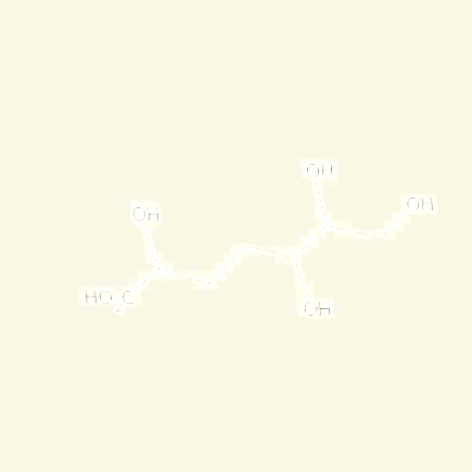 O=C(O)C(O)CCC(O)C(O)CO